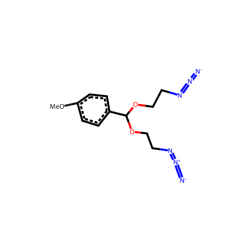 COc1ccc(C(OCCN=[N+]=[N-])OCCN=[N+]=[N-])cc1